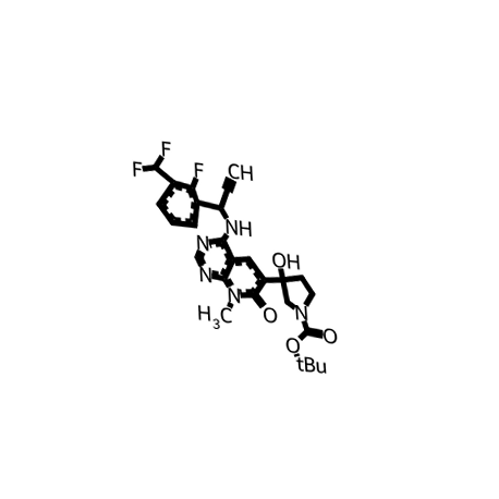 C#CC(Nc1ncnc2c1cc(C1(O)CCN(C(=O)OC(C)(C)C)C1)c(=O)n2C)c1cccc(C(F)F)c1F